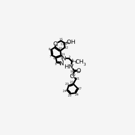 C[C@@H](Cn1ncc2ccc3c(c21)C[C@@H](O)CO3)NC(=O)OCc1ccccc1